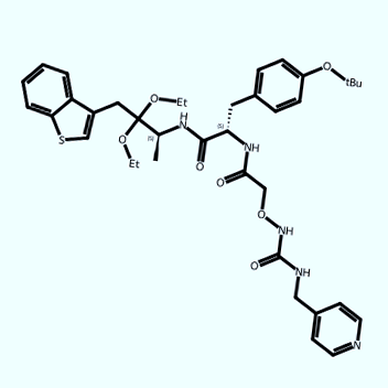 CCOC(Cc1csc2ccccc12)(OCC)[C@H](C)NC(=O)[C@H](Cc1ccc(OC(C)(C)C)cc1)NC(=O)CONC(=O)NCc1ccncc1